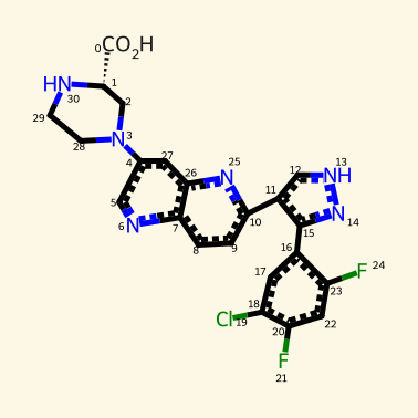 O=C(O)[C@@H]1CN(c2cnc3ccc(-c4c[nH]nc4-c4cc(Cl)c(F)cc4F)nc3c2)CCN1